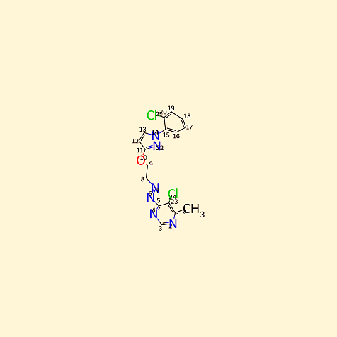 Cc1ncnc(N=NCCOc2ccn(-c3ccccc3Cl)n2)c1Cl